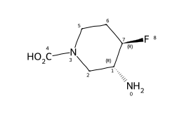 N[C@@H]1CN(C(=O)O)CC[C@H]1F